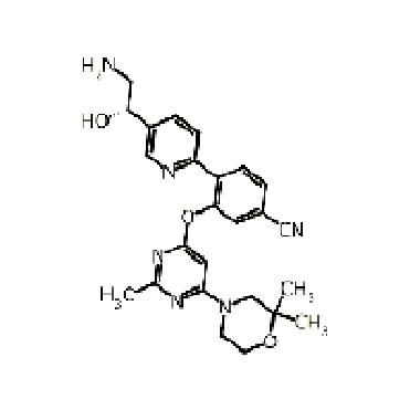 Cc1nc(Oc2cc(C#N)ccc2-c2ccc([C@H](O)CN)cn2)cc(N2CCOC(C)(C)C2)n1